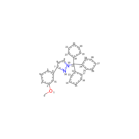 COc1cccc(-c2ccn(C(c3ccccc3)(c3ccccc3)c3ccccc3)n2)c1